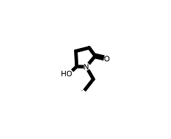 [CH2]CN1C(=O)CCC1O